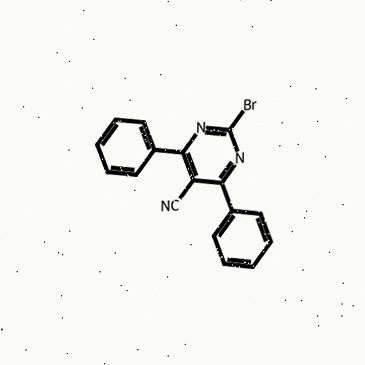 N#Cc1c(-c2ccccc2)nc(Br)nc1-c1ccccc1